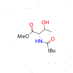 COC(=O)[C@@H](NC(=O)C(C)(C)C)C(C)O